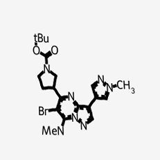 CNc1c(Br)c(C2CCN(C(=O)OC(C)(C)C)C2)nc2c(-c3cnn(C)c3)cnn12